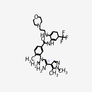 Cc1ccc(C(=O)NC2=CC(C(F)(F)F)CC=C2NCCN2CCOCC2)cc1N(N)/C=C(\N)c1cnn(C)c1C